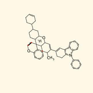 CC1CC2C(C=C1C1=Cc3c(n(-c4ccccc4)c4ccccc34)CC1)OC1CC(C3CC=CCC3)CC[C@@H]1C21C2=CC=CCC2Oc2ccccc21